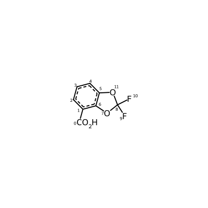 O=C(O)c1cccc2c1OC(F)(F)O2